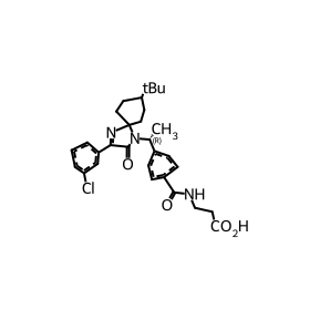 C[C@H](c1ccc(C(=O)NCCC(=O)O)cc1)N1C(=O)C(c2cccc(Cl)c2)=NC12CCC(C(C)(C)C)CC2